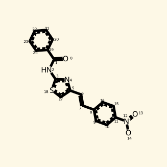 O=C(Nc1nc(/C=C/c2ccc([N+](=O)[O-])cc2)cs1)c1ccccc1